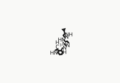 Cc1c[nH]c2cccc(CNc3nccc(Nc4cc(C5CC5)[nH]n4)n3)c12